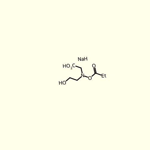 CCC(=O)ON(CCO)CC(=O)O.[NaH]